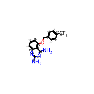 Nc1nc(N)c2c(OCc3ccc(C(F)(F)F)cc3)cccc2n1